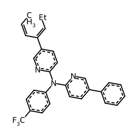 C/C=C\C(=C/CC)c1ccc(N(c2ccc(C(F)(F)F)cc2)c2ccc(-c3ccccc3)cn2)nc1